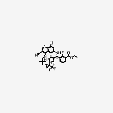 CCOC(=O)c1cccc([C@H](Nc2cc(Cl)c3ncc(C#N)c(NCC(C)(C)C)c3c2)c2cn(C3(C(F)(F)F)CC3)nn2)c1F